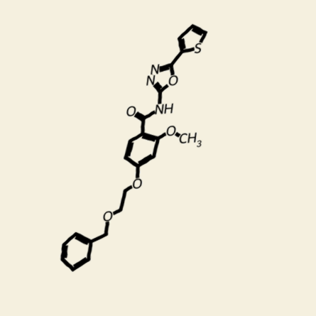 COc1cc(OCCOCc2ccccc2)ccc1C(=O)Nc1nnc(-c2cccs2)o1